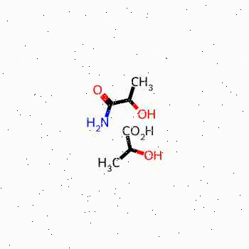 CC(O)C(=O)O.CC(O)C(N)=O